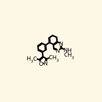 CNc1ncc2c(n1)CCC=C2c1cccc(-c2c(C)noc2C)c1